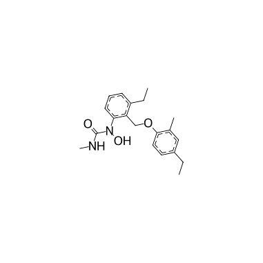 CCc1ccc(OCc2c(CC)cccc2N(O)C(=O)NC)c(C)c1